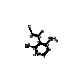 Bc1ccnc(Br)c1/C(C)=C/C